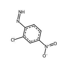 N=Nc1ccc([N+](=O)[O-])cc1Cl